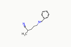 CC(C#N)CCCN=Cc1ccccc1